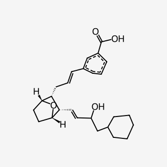 O=C(O)c1cccc(/C=C/C[C@@H]2[C@H](C=CC(O)CC3CCCCC3)[C@@H]3CC[C@H]2O3)c1